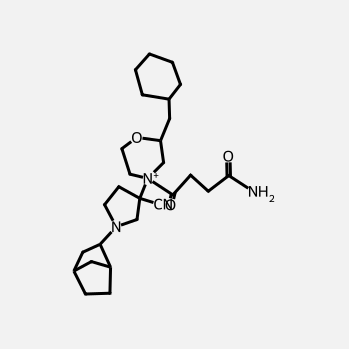 N#CC1([N+]2(C(=O)CCC(N)=O)CCOC(CC3CCCCC3)C2)CCN(C2CC3CCC2C3)C1